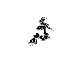 Cc1c(C#Cc2cnn(CCCN3CCC(Nc4cccc5c4CN(C4CCC(=O)NC4=O)C5=O)CC3)c2)sc2c1C(c1ccc(Cl)cc1)=N[C@@H](CC(=O)N1CCN(C)CC1)c1nnc(C)n1-2